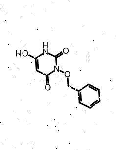 O=c1cc(O)[nH]c(=O)n1OCc1ccccc1